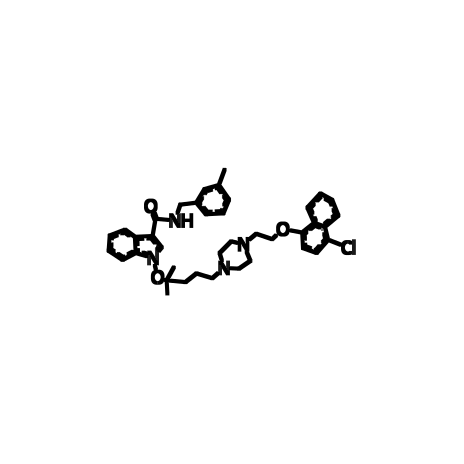 Cc1cccc(CNC(=O)c2cn(OC(C)(C)CCCN3CCN(CCOc4ccc(Cl)c5ccccc45)CC3)c3ccccc23)c1